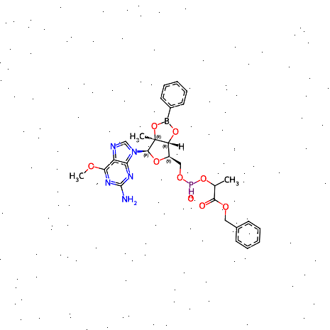 COc1nc(N)nc2c1ncn2[C@@H]1O[C@H](CO[PH](=O)OC(C)C(=O)OCc2ccccc2)[C@H]2OB(c3ccccc3)O[C@]21C